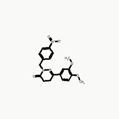 COc1ccc(C2=NN(Cc3ccc([N+](=O)[O-])cc3)C(=O)CC2)cc1OC